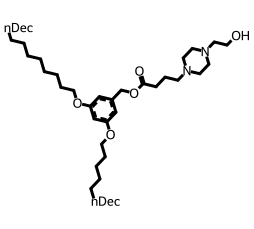 CCCCCCCCCCCCCCCCCCOc1cc(COC(=O)CCCN2CCN(CCO)CC2)cc(OCCCCCCCCCCCCCCC)c1